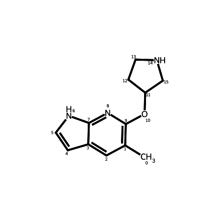 Cc1cc2cc[nH]c2nc1OC1CCNC1